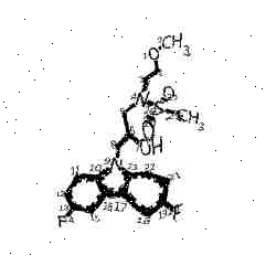 COCCN(CC(O)Cn1c2ccc(F)cc2c2cc(F)ccc21)S(C)(=O)=O